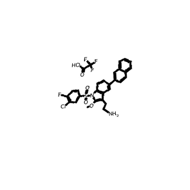 COc1c(CCN)c2cc(-c3ccc4ccccc4c3)ccc2n1S(=O)(=O)c1ccc(F)c(Cl)c1.O=C(O)C(F)(F)F